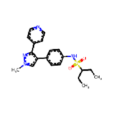 CCC(CC)S(=O)(=O)Nc1ccc(-c2cn(C)nc2-c2ccncc2)cc1